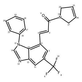 O=C(/C=C/c1cc(C(F)(F)F)cc2ncn(-c3ccccc3)c12)N1CC=CC1